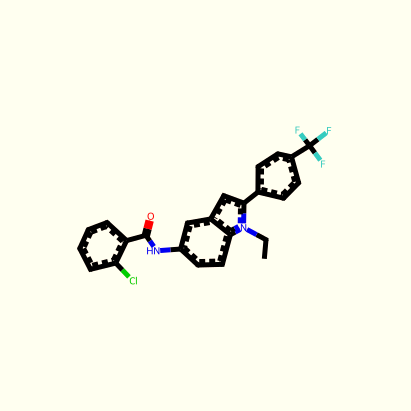 CCn1c(-c2ccc(C(F)(F)F)cc2)cc2cc(NC(=O)c3ccccc3Cl)ccc21